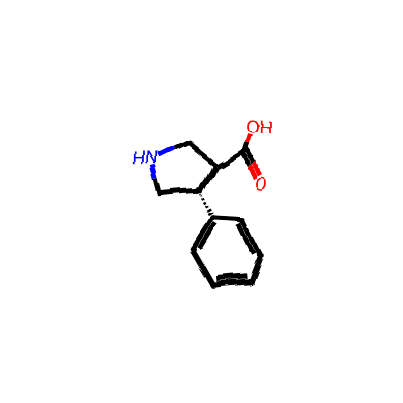 O=C(O)C1CNC[C@H]1c1ccccc1